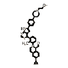 Cc1c(-c2ncnc3[nH]c(-c4ccc(C5CCN(CCO)CC5)cc4)cc23)cccc1N1C=Cc2cc(C3CC3)ccc2C1C=O